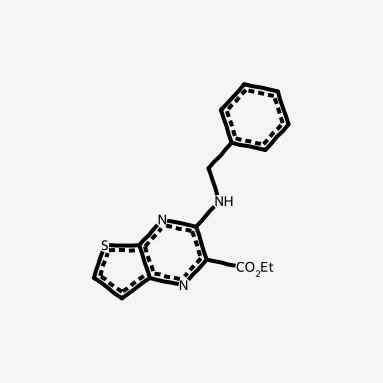 CCOC(=O)c1nc2ccsc2nc1NCc1ccccc1